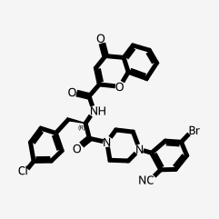 N#Cc1ccc(Br)cc1N1CCN(C(=O)[C@@H](Cc2ccc(Cl)cc2)NC(=O)c2cc(=O)c3ccccc3o2)CC1